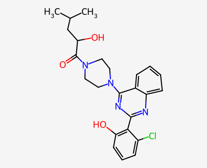 CC(C)CC(O)C(=O)N1CCN(c2nc(-c3c(O)cccc3Cl)nc3ccccc23)CC1